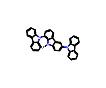 Cn1c2ccc(-n3c4ccccc4c4ccccc43)cc2c2cccc(-n3c4ccccc4c4ccccc43)c21